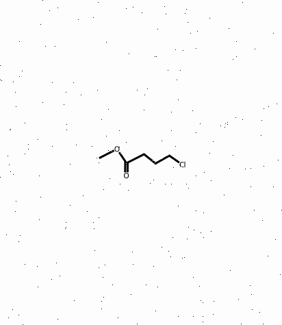 [CH2]OC(=O)CCCCl